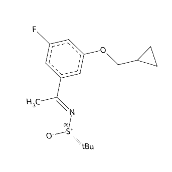 CC(=N[S@@+]([O-])C(C)(C)C)c1cc(F)cc(OCC2CC2)c1